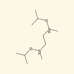 CC(C)O[SiH](C)CC[SiH](C)OC(C)C